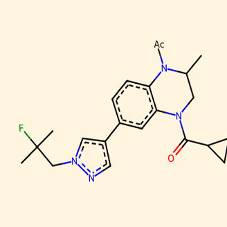 CC(=O)N1c2ccc(-c3cnn(CC(C)(C)F)c3)cc2N(C(=O)C2CC2)CC1C